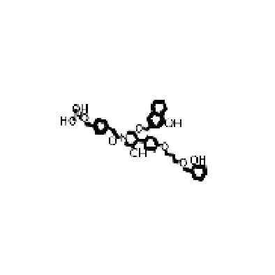 O=C(Cc1ccc(CON(O)O)cc1)N1CC(O)C(c2ccc(OCCCOCc3ccccc3O)cc2)C(OCc2cc(O)c3ccccc3c2)C1